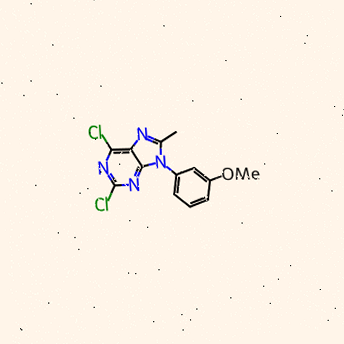 COc1cccc(-n2c(C)nc3c(Cl)nc(Cl)nc32)c1